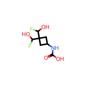 O=C(O)NC1CC(C(O)F)(C(O)F)C1